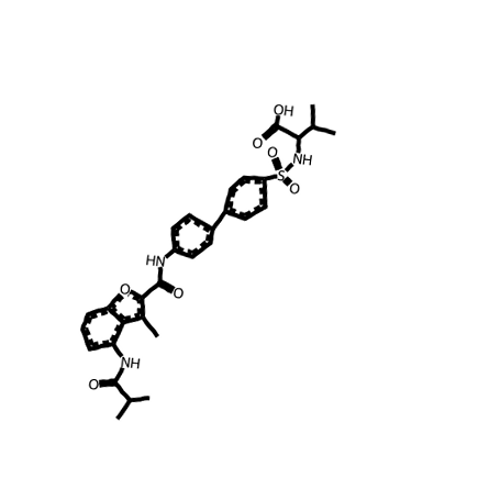 Cc1c(C(=O)Nc2ccc(-c3ccc(S(=O)(=O)NC(C(=O)O)C(C)C)cc3)cc2)oc2cccc(NC(=O)C(C)C)c12